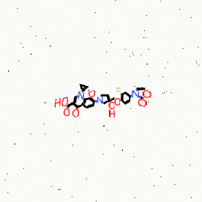 COc1c(N2CCC(O)(COc3ccc(N4CCOC4=O)cc3F)C2)ccc2c(=O)c(C(=O)O)cn(C3CC3)c12